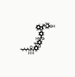 CCCCCNC(=O)Nc1ccc(Oc2ccc(NC(=O)c3ccc(-n4cc(CN5CCC(O)CC5)c5ccccc54)cc3)cc2OC)cc1